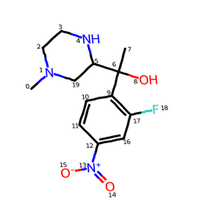 CN1CCNC(C(C)(O)c2ccc([N+](=O)[O-])cc2F)C1